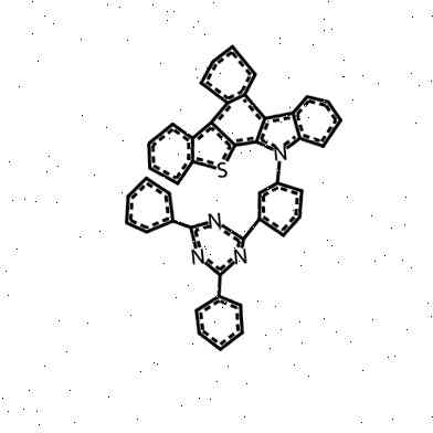 c1ccc(-c2nc(-c3ccccc3)nc(-c3cccc(-n4c5ccccc5c5c6ccccc6c6c7ccccc7sc6c54)c3)n2)cc1